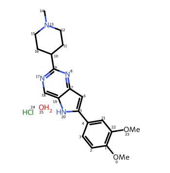 COc1ccc(-c2cc3nc(C4CCN(C)CC4)ncc3[nH]2)cc1OC.Cl.O